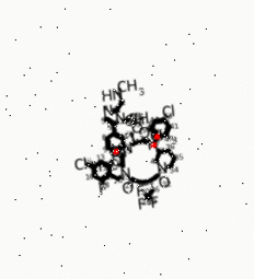 CNCc1ncc(-c2ccc(Oc3cc(Cl)cc(F)c3CN3C(=O)C[C@@H](CC(F)(F)F)C(=O)N4CCC[C@@](Cc5ccc(Cl)cc5)(C4)N(C)C(=O)[C@H](COC)NC(=O)[C@@H]3C)cc2)n1C